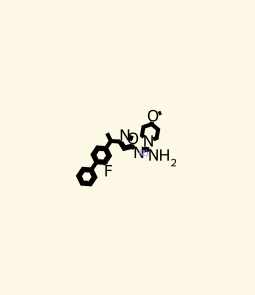 COC1CCN(/C(N)=N\c2cc(C(C)c3ccc(-c4ccccc4)c(F)c3)no2)CC1